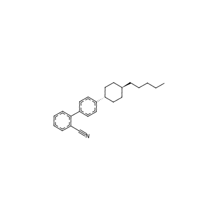 CCCCC[C@H]1CC[C@H](c2ccc(-c3ccccc3C#N)cc2)CC1